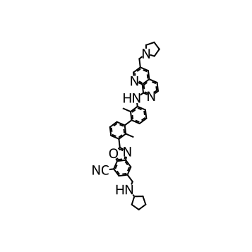 Cc1c(Nc2nccc3cc(CN4CCCC4)cnc23)cccc1-c1cccc(-c2nc3cc(CNC4CCCC4)cc(C#N)c3o2)c1C